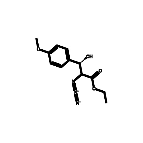 CCOC(=O)C(N=[N+]=[N-])[C@@H](O)c1ccc(OC)cc1